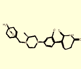 C[C@H]1CN(c2ccc(C3CCC(=O)NC3=O)c(Cl)c2)CCN1CC12CCC(N)(CC1)CO2